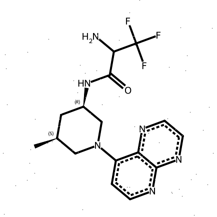 C[C@H]1C[C@@H](NC(=O)C(N)C(F)(F)F)CN(c2ccnc3nccnc23)C1